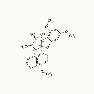 COc1ccc([C@@]23Oc4cc(OC)cc(OC)c4[C@]2(O)[C@H](O)[C@H](C)[C@H]3c2ccccc2)cc1